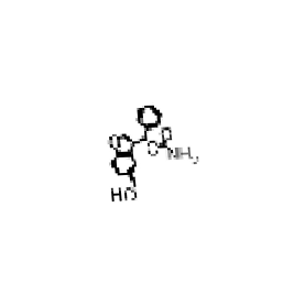 NC(=O)O[C@@H](c1ccccc1)C1COc2ccc(CO)cc21